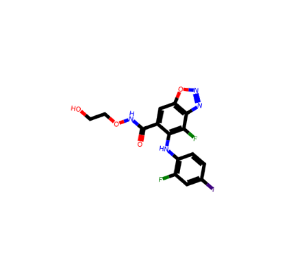 O=C(NOCCO)c1cc2onnc2c(F)c1Nc1ccc(I)cc1F